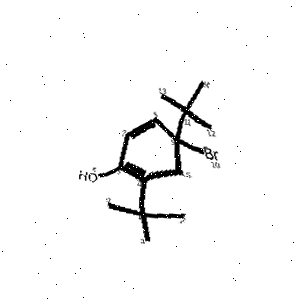 CC(C)(C)C1=C(O)C=CC(Br)(C(C)(C)C)C1